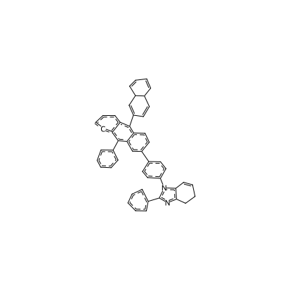 C1=CC2C=CC(c3c4ccccc4c(-c4ccccc4)c4cc(-c5ccc(-n6c(-c7ccccc7)nc7c6C=CCC7)cc5)ccc34)=CC2C=C1